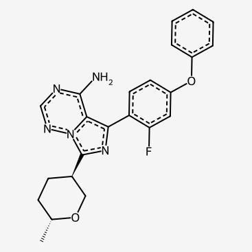 C[C@@H]1CC[C@@H](c2nc(-c3ccc(Oc4ccccc4)cc3F)c3c(N)ncnn23)CO1